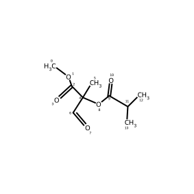 COC(=O)C(C)(C=O)OC(=O)C(C)C